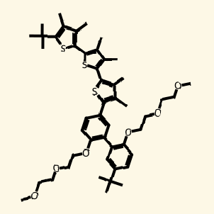 COCCOCCOc1ccc(-c2sc(-c3sc(-c4sc(C(C)(C)C)c(C)c4C)c(C)c3C)c(C)c2C)cc1-c1cc(C(C)(C)C)ccc1OCCOCCOC